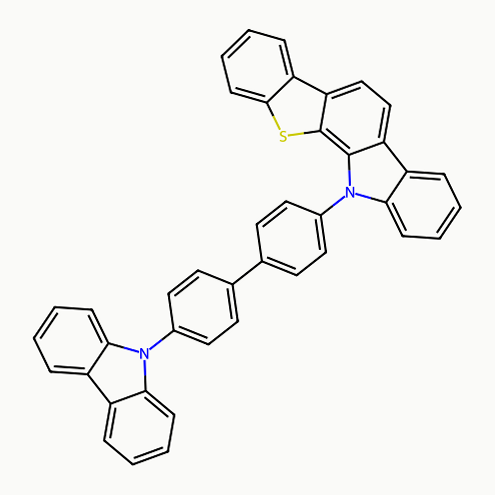 c1ccc2c(c1)sc1c2ccc2c3ccccc3n(-c3ccc(-c4ccc(-n5c6ccccc6c6ccccc65)cc4)cc3)c21